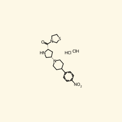 Cl.Cl.O=C([C@@H]1C[C@H](N2CCC(c3ccc([N+](=O)[O-])cc3)CC2)CN1)N1CCSC1